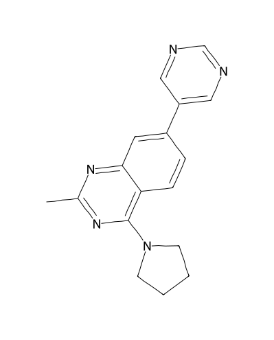 Cc1nc(N2CCCC2)c2ccc(-c3cncnc3)cc2n1